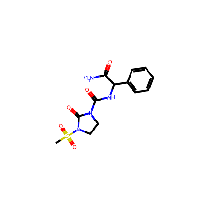 CS(=O)(=O)N1CCN(C(=O)NC(C(N)=O)c2ccccc2)C1=O